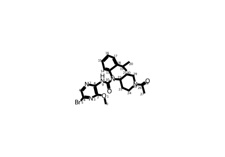 COc1nc(Br)cnc1NC(=O)N(c1ccccc1C(C)C)C1CCN(C(C)=O)CC1